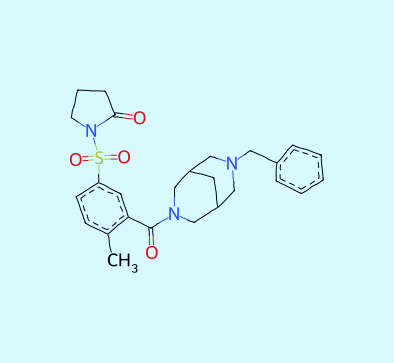 Cc1ccc(S(=O)(=O)N2CCCC2=O)cc1C(=O)N1CC2CC(CN(Cc3ccccc3)C2)C1